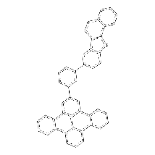 c1cc(-c2ccc3sc4c5ccccc5ccc4c3c2)cc(-c2cc3c4ccccc4c4cccc5c6ccccc6c(c2)c3c45)c1